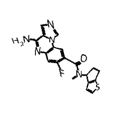 CN(C(=O)c1cc2c(cc1F)nc(N)c1cncn12)C1CCc2sccc21